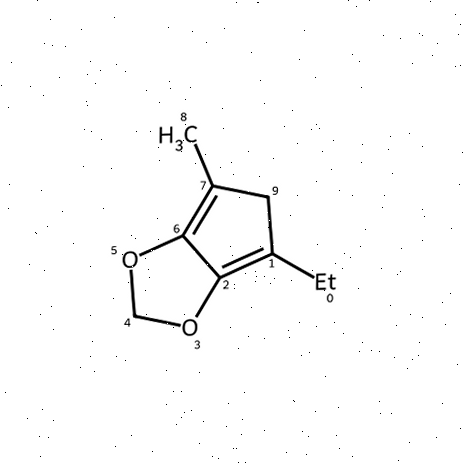 CCC1=C2OCOC2=C(C)C1